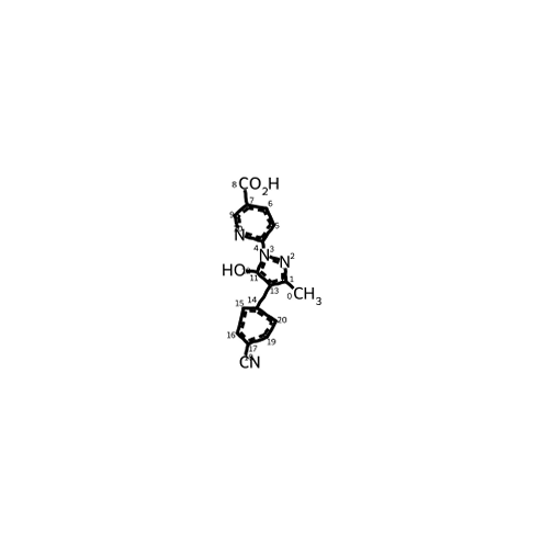 Cc1nn(-c2ccc(C(=O)O)cn2)c(O)c1-c1ccc(C#N)cc1